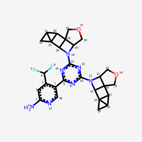 Nc1cc(C(F)F)c(-c2nc(N3C4COCC45C4C6CC64C35)nc(N3C4COCC45C4C6CC64C35)n2)cn1